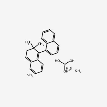 CC1(C)CC=c2ccccc2=C1c1cccc2ccccc12.OB(O)O.[SiH4].[SiH4].[SiH4]